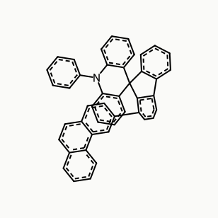 c1ccc(N2c3ccccc3C3(c4ccccc4-c4cccc(-c5ccc6ccc7ccccc7c6c5)c43)c3ccccc32)cc1